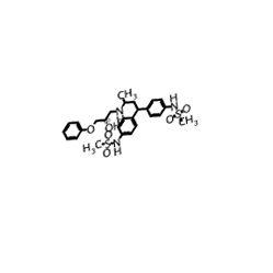 CC(CC(c1ccc(NS(C)(=O)=O)cc1)c1ccc(NS(C)(=O)=O)cc1)NC[C@H](O)COc1ccccc1